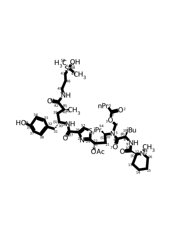 CCCC(=O)OCN(C(=O)[C@H](NC(=O)[C@@H]1CCCCN1C)C(C)CC)[C@@H](C[C@H](OC(C)=O)c1nc(C(=O)N[C@H](Cc2ccc(O)cc2)C[C@@H](C)C(=O)NCCC[Si](C)(C)O)cs1)C(C)C